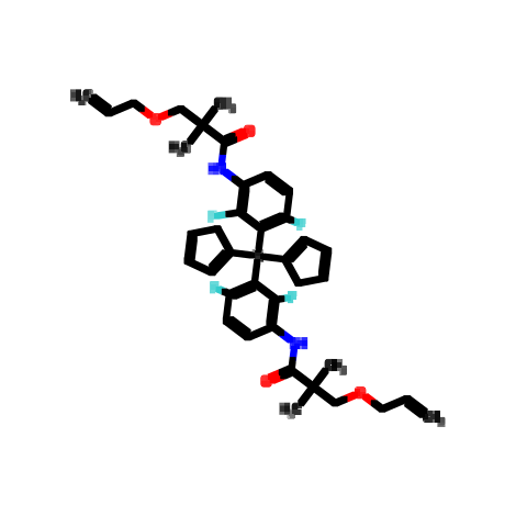 C=CCOCC(C)(C)C(=O)Nc1ccc(F)[c]([Ti]([C]2=CC=CC2)([C]2=CC=CC2)[c]2c(F)ccc(NC(=O)C(C)(C)COCC=C)c2F)c1F